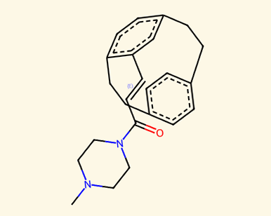 CN1CCN(C(=O)/C=C/c2cc3ccc2CCc2ccc(cc2)CC3)CC1